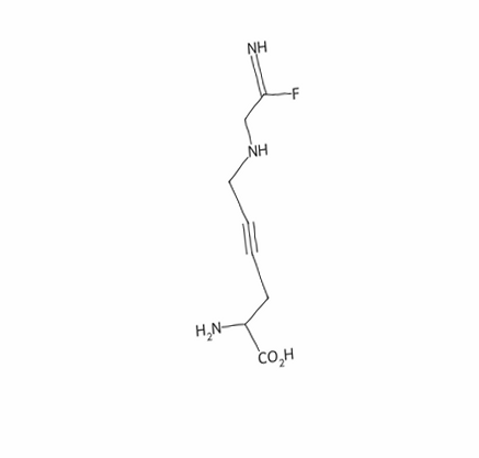 N=C(F)CNCC#CCC(N)C(=O)O